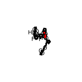 CC(C)(C)OC(=O)CCOCCCN1CCC[C@H]1COc1nc(N2CC3CCC(C2)N3C(=O)OC(C)(C)C)c2cc(Cl)c(-c3ccc(F)c4sc(NC(=O)OC(C)(C)C)nc34)c(F)c2n1